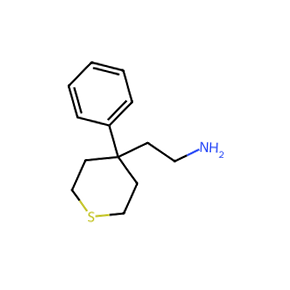 NCCC1(c2ccccc2)CCSCC1